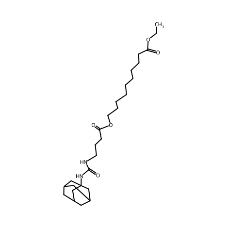 CCOC(=O)CCCCCCCCCOC(=O)CCCNC(=O)NC12CC3CC(CC(C3)C1)C2